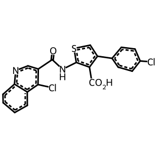 O=C(Nc1scc(-c2ccc(Cl)cc2)c1C(=O)O)c1cnc2ccccc2c1Cl